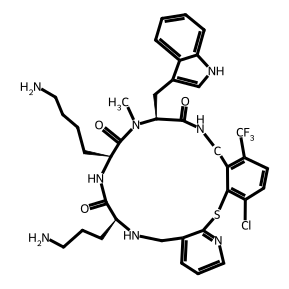 CN1C(=O)[C@H](CCCCN)NC(=O)[C@H](CCCN)NCc2cccnc2Sc2c(Cl)ccc(C(F)(F)F)c2CNC(=O)[C@@H]1Cc1c[nH]c2ccccc12